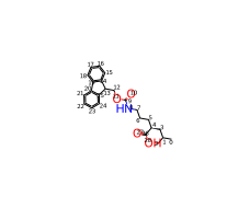 CC(C)C[C@H](CCCNC(=O)OCC1c2ccccc2-c2ccccc21)C(=O)O